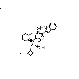 C#C[C@H](CC1CCC1)NC(=O)[C@H](CC1CCCCC1)NC(=O)c1cc2ccccc2[nH]1